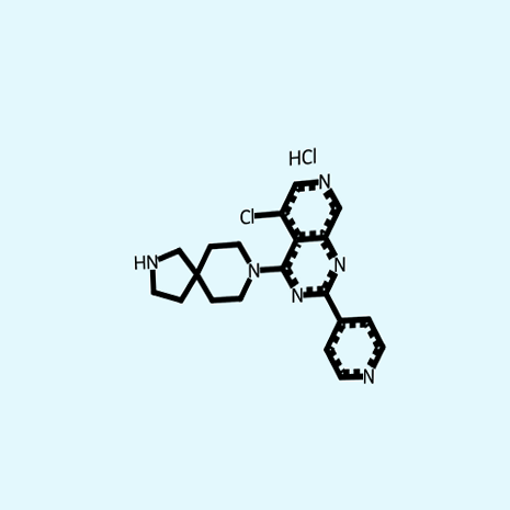 Cl.Clc1cncc2nc(-c3ccncc3)nc(N3CCC4(CCNC4)CC3)c12